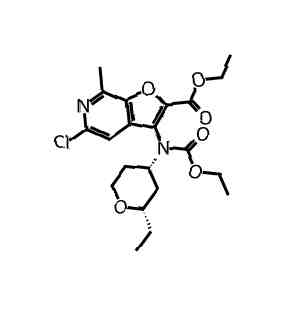 CCOC(=O)c1oc2c(C)nc(Cl)cc2c1N(C(=O)OCC)[C@H]1CCO[C@@H](CC)C1